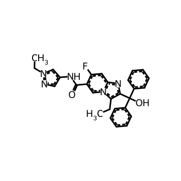 CCc1c(C(O)(c2ccccc2)c2ccccc2)nc2cc(F)c(C(=O)Nc3cnn(CC)c3)cn12